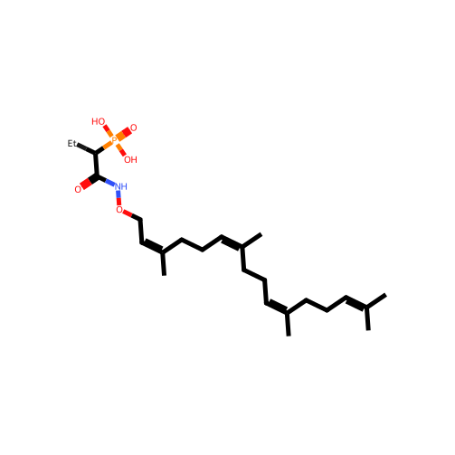 CCC(C(=O)NOCC=C(C)CCC=C(C)CCC=C(C)CCC=C(C)C)P(=O)(O)O